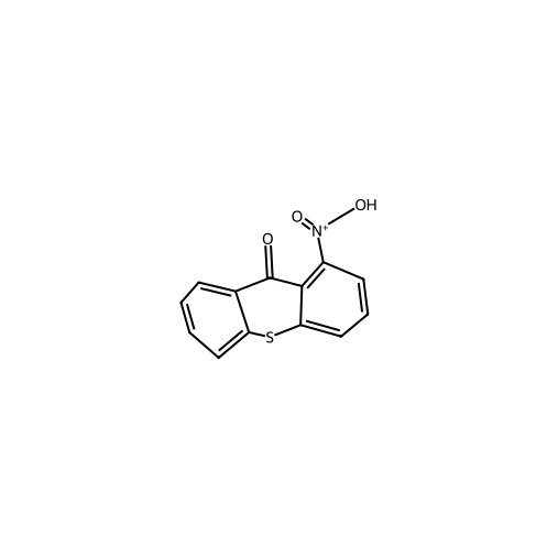 O=c1c2ccccc2sc2cccc([N+](=O)O)c12